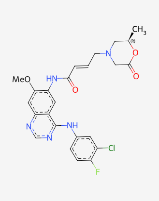 COc1cc2ncnc(Nc3ccc(F)c(Cl)c3)c2cc1NC(=O)C=CCN1CC(=O)O[C@H](C)C1